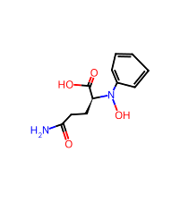 NC(=O)CC[C@@H](C(=O)O)N(O)c1ccccc1